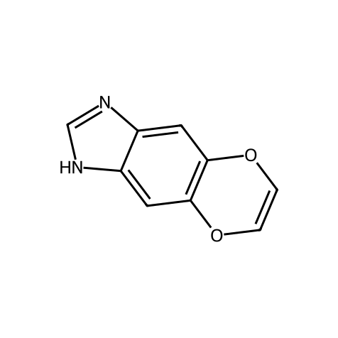 C1=COc2cc3[nH]cnc3cc2O1